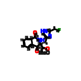 COC(=O)[C@]1(Cc2c[nH]c(CF)n2)NC(=O)c2ccccc2C1=O